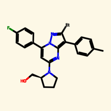 CCc1nn2c(-c3ccc(F)cc3)cc(N3CCC[C@H]3CO)nc2c1-c1ccc(C)cc1